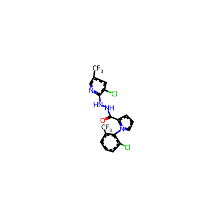 O=C(NNc1ncc(C(F)(F)F)cc1Cl)c1cccn1-c1c(Cl)cccc1C(F)(F)F